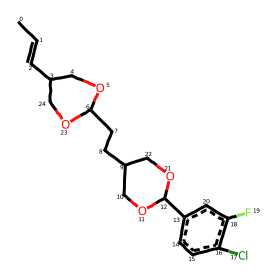 CC=CC1COC(CCC2COC(c3ccc(Cl)c(F)c3)OC2)OC1